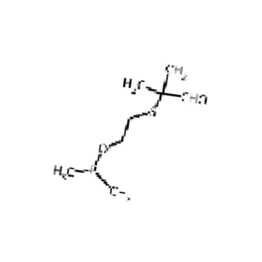 CP(C)OCCSC(C)(C)C=O